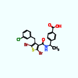 CC(NC(=O)c1c(Br)sc(Br)c1Cc1cccc(Cl)c1)c1ccc(C(=O)O)cc1